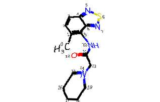 Cc1ccc2nsnc2c1NC(=O)CN1CCCCC1